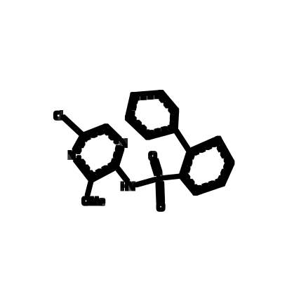 COc1nc(Cl)cnc1NS(=O)(=O)c1ccccc1-c1ccccc1